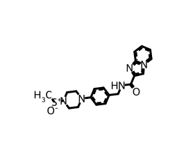 C[S+]([O-])N1CCN(c2ccc(CNC(=O)c3cn4ccccc4n3)cc2)CC1